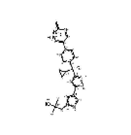 C=C(N)/N=C\C(=C/N)c1ccc([C@@](C)(c2noc(-c3cnn(CC(C)(C)O)c3)n2)C2CC2)cn1